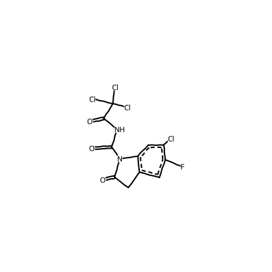 O=C1Cc2cc(F)c(Cl)cc2N1C(=O)NC(=O)C(Cl)(Cl)Cl